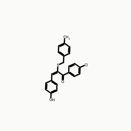 Cc1ccc(CSC(=Cc2ccc(O)cc2)C(=O)c2ccc(Cl)cc2)cc1